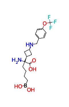 NC(CCCCB(O)O)(C(=O)O)[C@H]1C[C@@H](NCc2ccc(OC(F)(F)F)cc2)C1